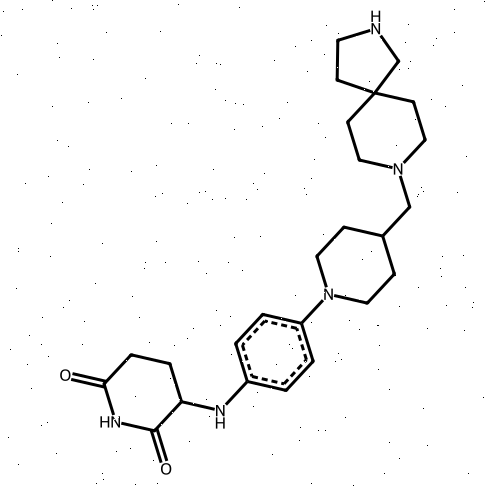 O=C1CCC(Nc2ccc(N3CCC(CN4CCC5(CCNC5)CC4)CC3)cc2)C(=O)N1